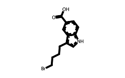 O=C(O)c1ccc2[nH]cc(CCCCBr)c2c1